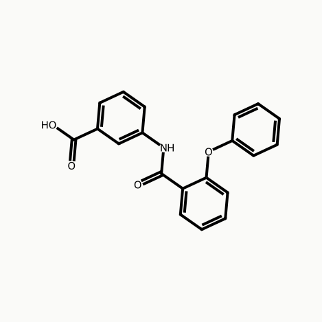 O=C(O)c1cccc(NC(=O)c2ccccc2Oc2ccccc2)c1